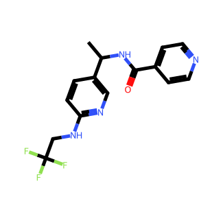 CC(NC(=O)c1ccncc1)c1ccc(NCC(F)(F)F)nc1